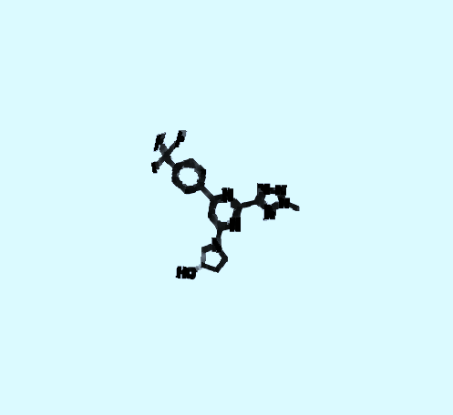 Cn1nnc(-c2nc(-c3ccc(C(F)(F)F)cc3)cc(N3CC[C@H](O)C3)n2)n1